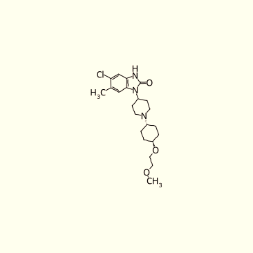 COCCO[C@H]1CC[C@H](N2CCC(n3c(=O)[nH]c4cc(Cl)c(C)cc43)CC2)CC1